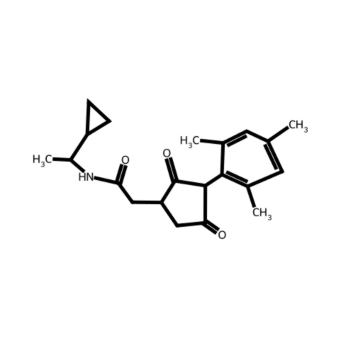 Cc1cc(C)c(C2C(=O)CC(CC(=O)NC(C)C3CC3)C2=O)c(C)c1